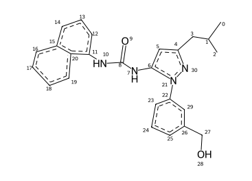 CC(C)Cc1cc(NC(=O)Nc2cccc3ccccc23)n(-c2cccc(CO)c2)n1